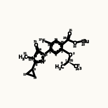 C[C@H](Oc1cc(-n2nc(C3CC3)n(C)c2=O)c(F)cc1C(=O)OC(C)(C)C)C(F)(F)F